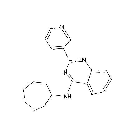 c1cncc(-c2nc(NC3CCCCCC3)c3ccccc3n2)c1